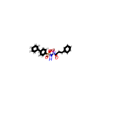 O=C(CCc1ccccc1)N(O)NS(=O)(=O)c1ccc(-c2ccccc2)cc1